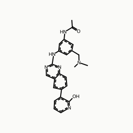 CC(=O)Nc1cc(CN(C)C)cc(Nc2ncc3cc(-c4cccnc4O)ccc3n2)c1